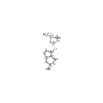 C[C@@H]1C[C@@H](Cn2ccc3cc(Br)cnc32)CN1